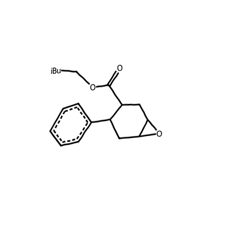 CCC(C)COC(=O)C1CC2OC2CC1c1ccccc1